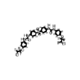 O=C(Nc1ccc(OC(F)(F)C(F)Cl)cc1)Nc1ccc(S(=O)(=O)c2ccc(NC(=O)Nc3ccc(OC(F)(F)C(F)Cl)cc3)cc2)cc1